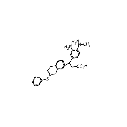 CN(N)c1ccc(C(CC(=O)O)c2ccc3c(c2)CN(Sc2ccccc2)CC3)cc1N